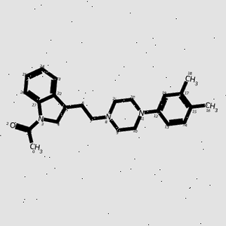 CC(=O)N1CC(CCN2CCN(c3ccc(C)c(C)c3)CC2)c2ccccc21